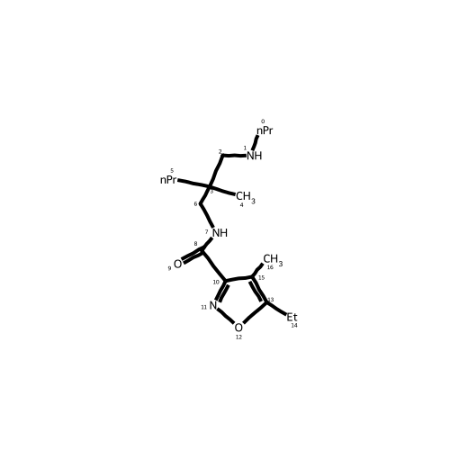 CCCNCC(C)(CCC)CNC(=O)c1noc(CC)c1C